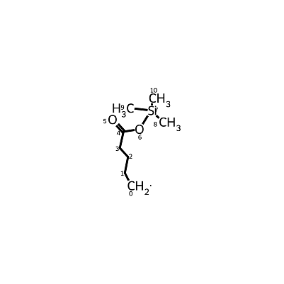 [CH2]CCCC(=O)O[Si](C)(C)C